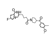 COc1ccc(C(=O)C2CCN(C(=O)CCCc3cn4cc(F)cc4c(=O)[nH]3)CC2)cc1C